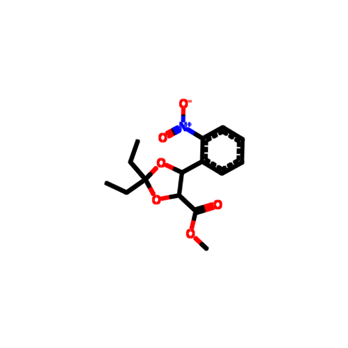 CCC1(CC)OC(C(=O)OC)C(c2ccccc2[N+](=O)[O-])O1